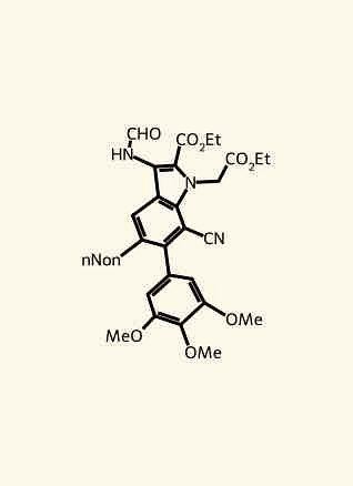 CCCCCCCCCc1cc2c(NC=O)c(C(=O)OCC)n(CC(=O)OCC)c2c(C#N)c1-c1cc(OC)c(OC)c(OC)c1